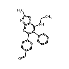 CCNc1c(-c2ccccc2)c(-c2ccc(C=O)cc2)nc2nc(C)nn12